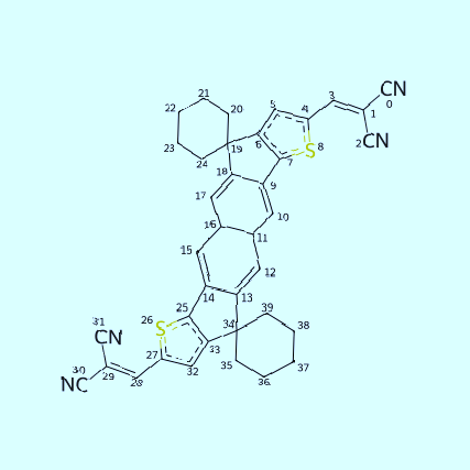 N#CC(C#N)=Cc1cc2c(s1)C1=CC3C=C4C(=CC3C=C1C21CCCCC1)c1sc(C=C(C#N)C#N)cc1C41CCCCC1